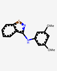 COc1cc(Nc2nsc3ccccc23)cc(OC)c1